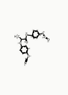 CC(Oc1ccc(OC#N)cc1)C(=O)Oc1ccc(N=C=O)cc1